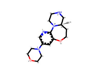 c1nc2c(cc1N1CCOCC1)OCC[C@@H]1CNCCN21